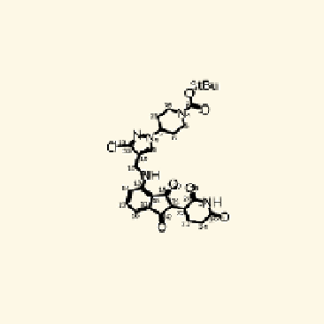 CC(C)(C)OC(=O)N1CCC(n2cc(CNc3cccc4c3C(=O)C(C3CCC(=O)NC3=O)C4=O)c(Cl)n2)CC1